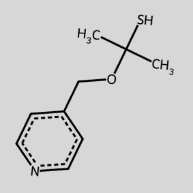 CC(C)(S)OCc1ccncc1